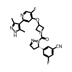 Cc1n[nH]c(C)c1-c1cc(OC2CN(C(=O)N3N=CC[C@H]3c3cc(F)cc(C#N)c3)C2)c(F)cn1